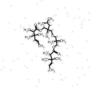 CC=CC(C)(C)C(C)C(=O)OCC(C)(C)COCC(C)(COC(=O)C(C)C(C)(C)C=CC)CC(C)C